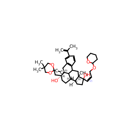 C=C(C)c1ccc2c(c1)C[C@]13CCC4(C[C@]1(O)CC[C@@H]1C3C2C[C@@]2(C)[C@H]1CC[C@@]2(O)/C=C\COC1CCCCO1)OCC(C)(C)CO4